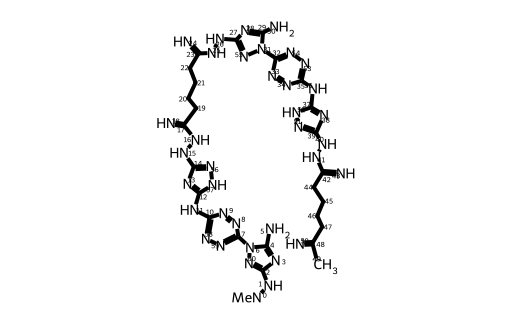 CNNc1nc(N)n(-c2nnc(Nc3nc(NNC(=N)CCCCC(=N)NNc4nc(N)n(-c5nnc(Nc6nc(NNC(=N)CCCCC(C)=N)n[nH]6)nn5)n4)n[nH]3)nn2)n1